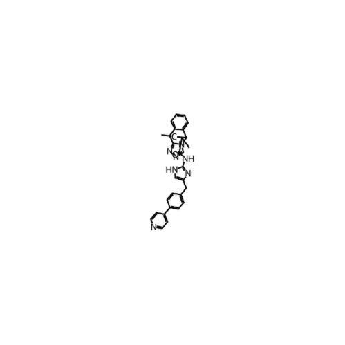 CC12CC(C)(C(=O)Nc3nc(Cc4ccc(-c5ccncc5)cc4)c[nH]3)C(c3ccccc31)n1cnnc12